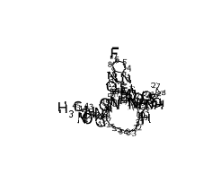 CCc1nc2ccc(F)cc2nc1O[C@@H]1C[C@H]2C(=O)N[C@]3(C(=O)NS(=O)(=O)C4CC4)C[C@H]3C=CCCCCC[C@H](NC(=O)c3cc(C)no3)C(=O)N2C1